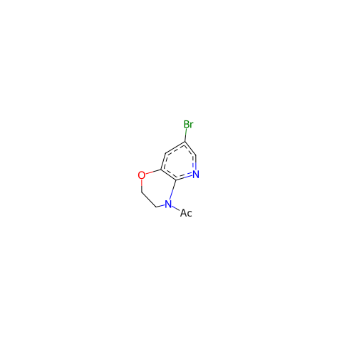 CC(=O)N1CCOc2cc(Br)cnc21